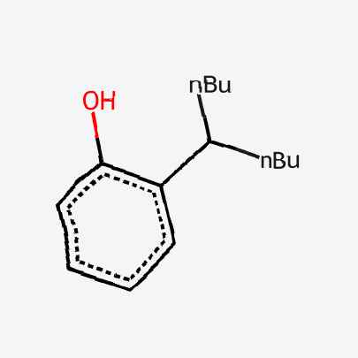 CCCCC(CCCC)c1ccccc1O